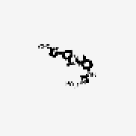 Cc1ccc(NC2CN(C(=O)O)C2)cc1C(=O)NC(C)c1cccc(-c2ccc(C=O)s2)c1